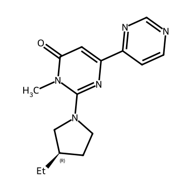 CC[C@@H]1CCN(c2nc(-c3ccncn3)cc(=O)n2C)C1